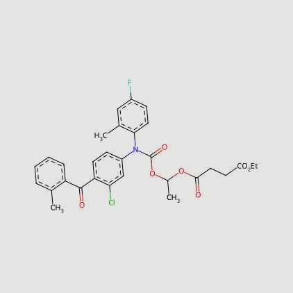 CCOC(=O)CCC(=O)OC(C)OC(=O)N(c1ccc(C(=O)c2ccccc2C)c(Cl)c1)c1ccc(F)cc1C